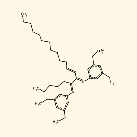 CCCCCCCCCCC/C=C/C(=N\c1cc(CC)cc(CC)c1)C(/CCCCC)=N/c1cc(CC)cc(CC)c1.[Ni]